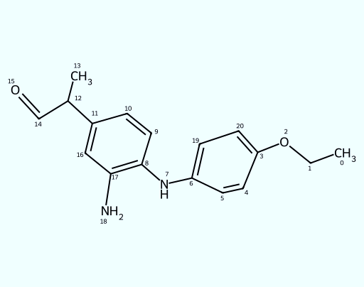 CCOc1ccc(Nc2ccc(C(C)C=O)cc2N)cc1